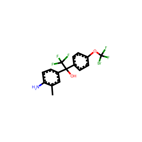 Cc1cc(C(O)(c2ccc(OC(F)(F)Br)cc2)C(F)(F)F)ccc1N